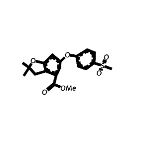 COC(=O)c1cc(Oc2ccc(S(C)(=O)=O)cc2)cc2c1CC(C)(C)O2